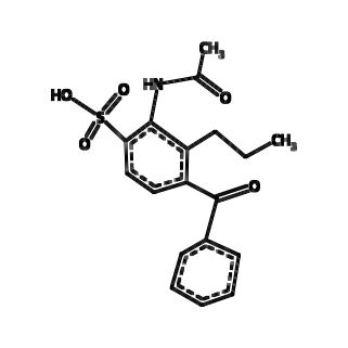 CCCc1c(C(=O)c2ccccc2)ccc(S(=O)(=O)O)c1NC(C)=O